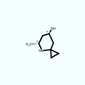 C[C@@H]1C[C@@H](O)CC2(CC2)N1